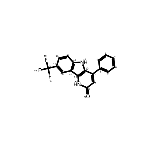 O=c1cc(-c2ccccc2)c2[nH]c3ccc(C(F)(F)F)cc3c2[nH]1